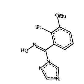 CC(C)COc1cccc(C(=NO)n2cncn2)c1C(C)C